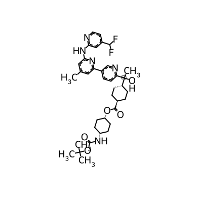 Cc1cc(Nc2cc(C(F)F)ccn2)nc(-c2ccc([C@](C)(O)[C@H]3CC[C@H](C(=O)O[C@H]4CC[C@@H](NC(=O)OC(C)(C)C)CC4)CC3)nc2)c1